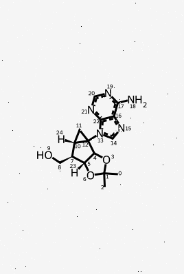 CC1(C)OC2[C@H](O1)[C@@H](CO)[C@@H]1CC21n1cnc2c(N)ncnc21